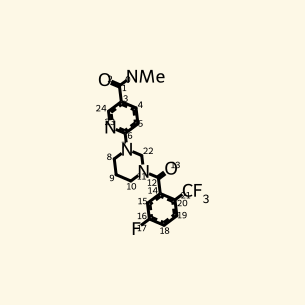 CNC(=O)c1ccc(N2CCCN(C(=O)c3cc(F)ccc3C(F)(F)F)C2)nc1